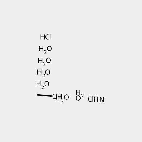 CO.Cl.Cl.O.O.O.O.O.O.[Ni]